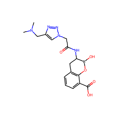 CN(C)Cc1cn(CC(=O)NC2Cc3cccc(C(=O)O)c3OB2O)nn1